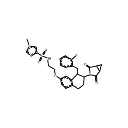 Cn1cnc(S(=O)(=O)NCCOc2ccc3c(c2)C(Cc2ccccc2F)C(N2C(=O)C4CC4C2=O)CC3)c1